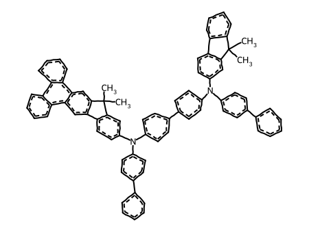 CC1(C)c2ccccc2-c2ccc(N(c3ccc(-c4ccccc4)cc3)c3ccc(-c4ccc(N(c5ccc(-c6ccccc6)cc5)c5ccc6c(c5)C(C)(C)c5cc7c8ccccc8c8ccccc8c7cc5-6)cc4)cc3)cc21